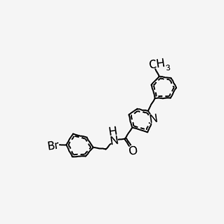 Cc1cccc(-c2ccc(C(=O)NCc3ccc(Br)cc3)cn2)c1